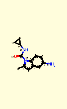 Cc1cc2cc(N)ccc2n1C(=O)NC1CC1